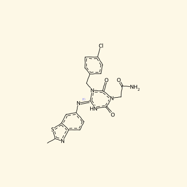 Cc1nc2ccc(/N=c3\[nH]c(=O)n(CC(N)=O)c(=O)n3Cc3ccc(Cl)cc3)cc2s1